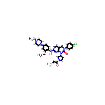 C=CC(=O)N1CC[C@H](N2C(=O)N(c3ccc(Cl)cc3)Cc3cnc(Nc4ccc(N5CCN(C)CC5)cc4OC)nc32)C1